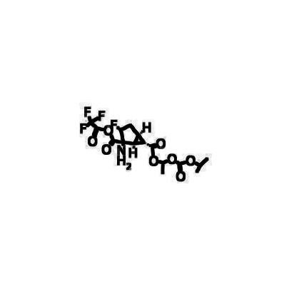 CC(C)OC(=O)OC(C)OC(=O)[C@H]1[C@@H]2C[C@H](F)[C@@](N)(C(=O)OC(=O)C(F)(F)F)[C@@H]21